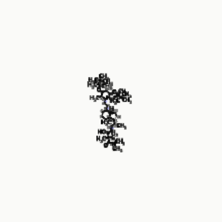 C=C1/C(=C/C=C2\CCC[C@]3(C)[C@@H]([C@H](C)/C=C/[C@@H](O)C(C)(C)C(=O)N(C)C)CC[C@@H]23)C[C@@H](O[Si](C)(C)C(C)(C)C)C[C@@H]1O[Si](C)(C)C(C)(C)C